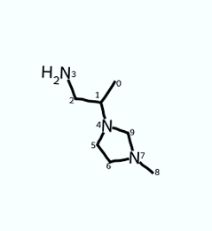 CC(CN)N1CCN(C)C1